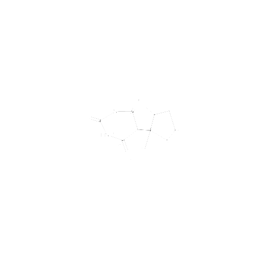 CC1CCCC1(C)C1C(=O)NC(=O)NC1=O